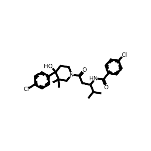 CC(C)C(CC(=O)N1CCC(O)(c2ccc(Cl)cc2)C(C)(C)C1)NC(=O)c1ccc(Cl)cc1